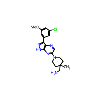 COc1cc(Cl)cc(-c2n[nH]c3nc(N4CCC(C)(CN)CC4)cnc23)c1